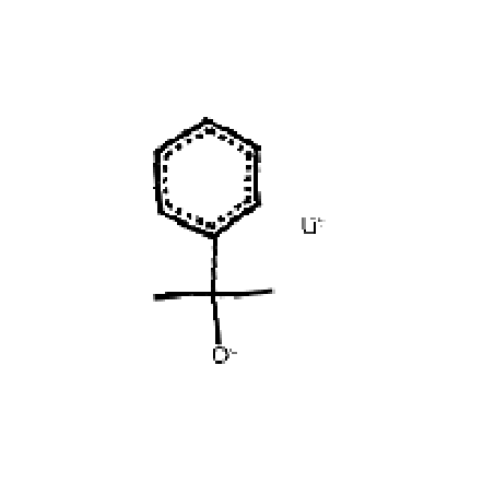 CC(C)([O-])c1ccccc1.[Li+]